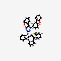 c1ccc2c(c1)oc1ccc(-c3nc(-n4c5ccccc5c5c6ccccc6c6c7ccccc7sc6c54)nc4oc5ccccc5c34)cc12